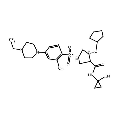 N#CC1(NC(=O)C2C[C@H](S(=O)(=O)c3ccc(N4CCN(CC(F)(F)F)CC4)cc3C(F)(F)F)C[C@@H]2OC2CCCC2)CC1